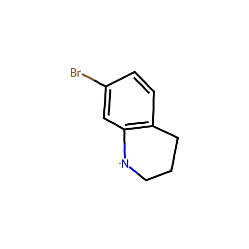 Brc1ccc2c(c1)[N]CCC2